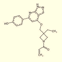 C=CC(=O)N1CC(CC)(COc2cc(-c3ccc(O)cc3)nc3[nH]ncc23)C1